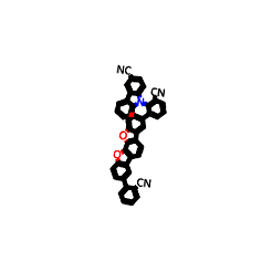 N#Cc1ccc2c(c1)c1ccccc1n2-c1c(C#N)cccc1-c1ccc2oc3c(ccc4c5cc(-c6ccccc6C#N)ccc5oc43)c2c1